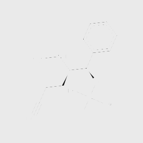 C#CCC[C@@H](NC(=O)O)[C@H](O[Si](C)(C)C(C)(C)C)c1ccccc1